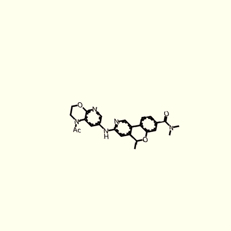 CC(=O)N1CCOc2ncc(Nc3cc4c(cn3)-c3ccc(C(=O)N(C)C)cc3OC4C)cc21